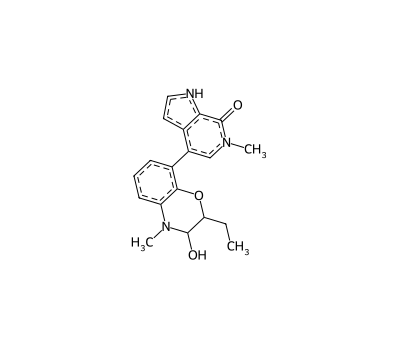 CCC1Oc2c(-c3cn(C)c(=O)c4[nH]ccc34)cccc2N(C)C1O